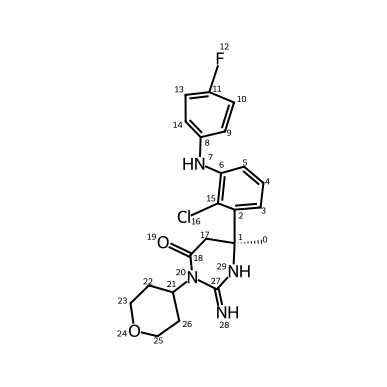 C[C@@]1(c2cccc(Nc3ccc(F)cc3)c2Cl)CC(=O)N(C2CCOCC2)C(=N)N1